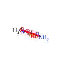 CC(=O)N(O)CCCCCNC(=O)CCC(=O)N(O)CCCCCNC(=O)CCC(=O)N(O)CCCCCN.P